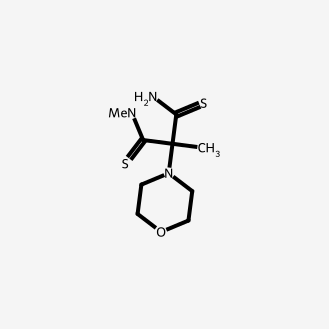 CNC(=S)C(C)(C(N)=S)N1CCOCC1